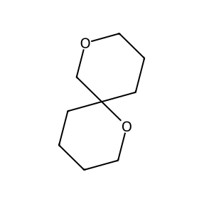 C1CCC2(CCCOC2)OC1